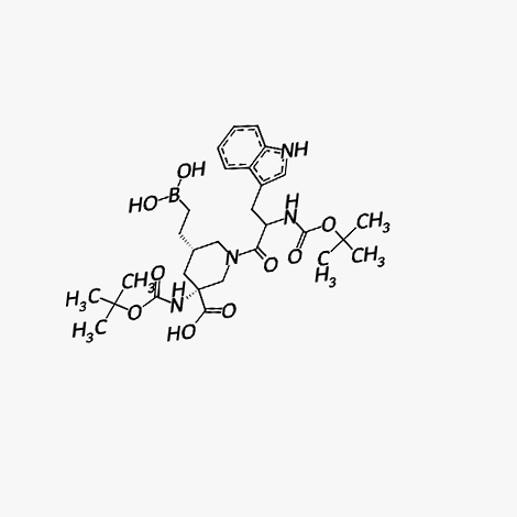 CC(C)(C)OC(=O)NC(Cc1c[nH]c2ccccc12)C(=O)N1C[C@@H](CCB(O)O)C[C@](NC(=O)OC(C)(C)C)(C(=O)O)C1